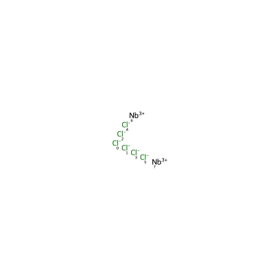 [Cl-].[Cl-].[Cl-].[Cl-].[Cl-].[Cl-].[Nb+3].[Nb+3]